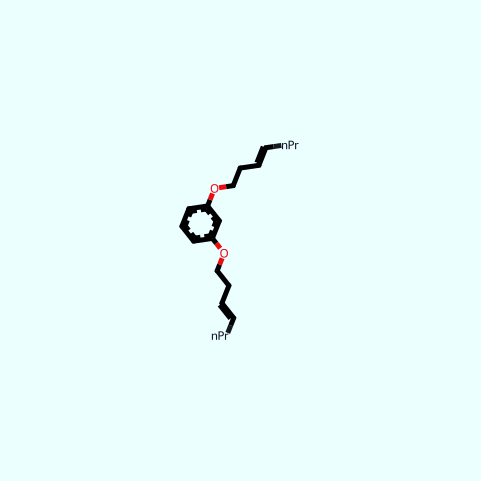 CCCC=CCCOc1cccc(OCCC=CCCC)c1